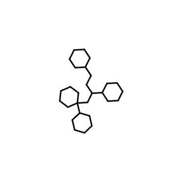 C1CCC(CCC(CC2(C3CCCCC3)CCCCC2)C2CCCCC2)CC1